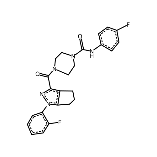 O=C(Nc1ccc(F)cc1)N1CCN(C(=O)c2nn(-c3ccccc3F)c3c2CCC3)CC1